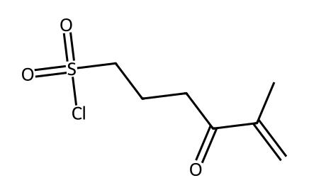 C=C(C)C(=O)CCCS(=O)(=O)Cl